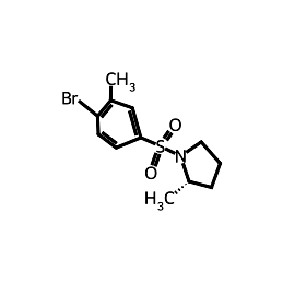 Cc1cc(S(=O)(=O)N2CCC[C@@H]2C)ccc1Br